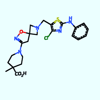 CC1(C(=O)O)CCN(C2=NOC3(C2)CN(Cc2sc(Nc4ccccc4)nc2Cl)C3)CC1